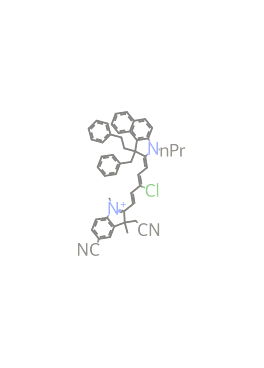 CCCN1/C(=C/C=C(Cl)/C=C/C2=[N+](C)c3ccc(C#N)cc3C2(C)CC#N)C(CCc2ccccc2)(Cc2ccccc2)c2c1ccc1ccccc21